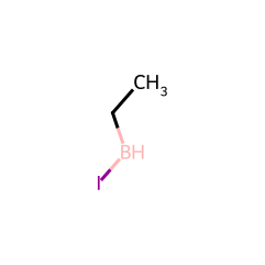 CCBI